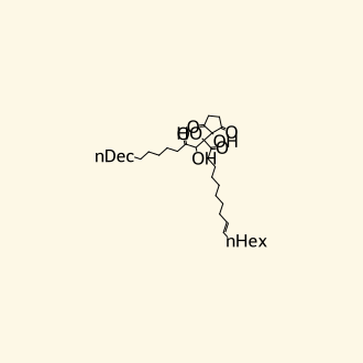 CCCCCC/C=C/CCCCCCCC(=O)C(O)(C(O)C(=O)CCCCCCCCCCCCCCC)C1(O)C(=O)CCC1=O